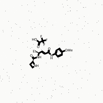 CC[C@@H](C=CC(=O)Nc1ccc(OC)cc1)NC(=O)[C@@H]1CCN1.O=C(O)C(F)(F)F